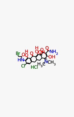 CN(C)[C@@H]1C(O)=C(C(N)=O)C(=O)[C@@]2(O)C(O)=C3C(=O)c4c(cc(Cl)c(NC(=O)CBr)c4O)CC3CC12.Cl